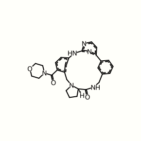 O=C1NCc2cccc(c2)-c2ccnc(n2)Nc2ccc(C(=O)N3CCOCC3)c(c2)CN2CCC[C@@H]12